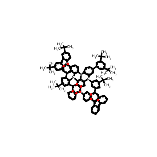 CC(C)(C)c1cc(-c2ccccc2)cc(N2c3cc(-c4cc(C(C)(C)C)cc(C(C)(C)C)c4)ccc3B3c4ccc(-n5c6ccc(C(C)(C)C)cc6c6cc(C(C)(C)C)ccc65)cc4N(c4c(-c5ccccc5)cc(C(C)(C)C)cc4-c4ccccc4)c4cc(N(c5ccccc5)c5ccc(-n6c7ccccc7c7ccccc76)cc5)cc2c43)c1